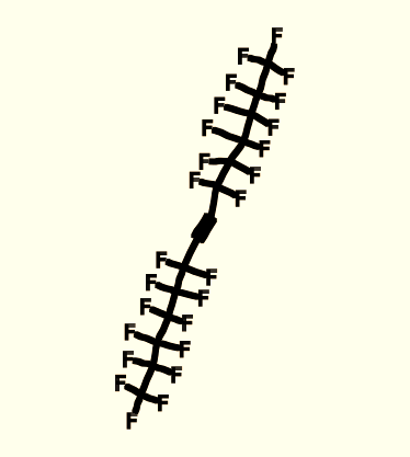 FC(F)(F)C(F)(F)C(F)(F)C(F)(F)C(F)(F)C(F)(F)C#CC(F)(F)C(F)(F)C(F)(F)C(F)(F)C(F)(F)C(F)(F)F